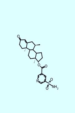 C[C@@H]1CC2=CC(=O)CC[C@]2(C)C2CC[C@@]3(C)C(CC[C@@H]3OC(=O)c3cncc(S(N)(=O)=O)c3)C21